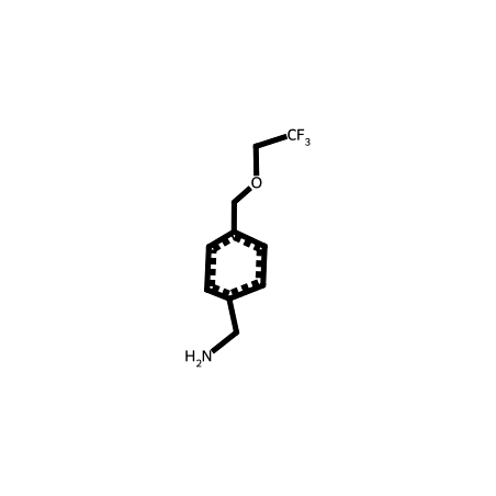 NCc1ccc(COCC(F)(F)F)cc1